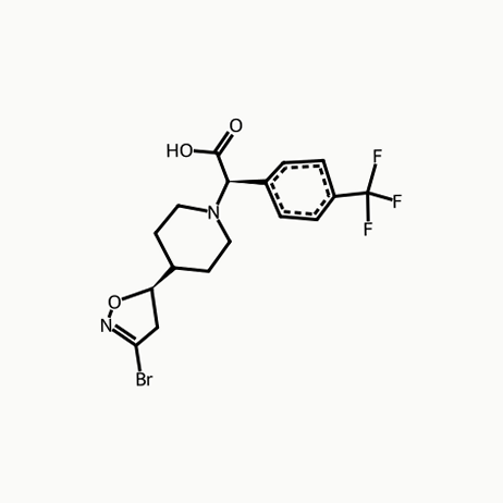 O=C(O)[C@@H](c1ccc(C(F)(F)F)cc1)N1CCC([C@H]2CC(Br)=NO2)CC1